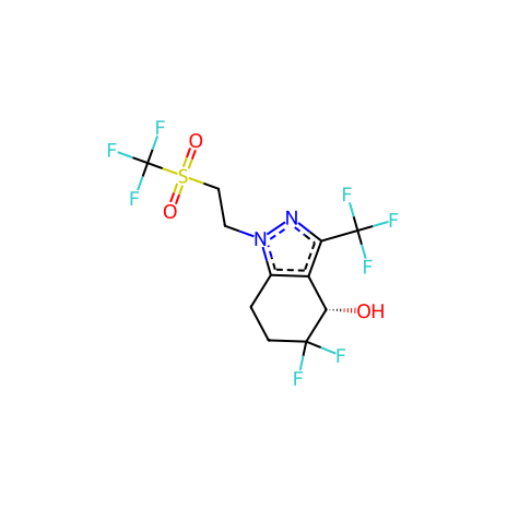 O=S(=O)(CCn1nc(C(F)(F)F)c2c1CCC(F)(F)[C@H]2O)C(F)(F)F